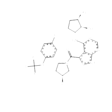 O=C(c1n[nH]c2ncnc(N[C@@H]3CC[C@@H](O)[C@H]3O)c12)N1C[C@@H](F)C[C@@H]1c1cc(F)ccc1OC(F)(F)F